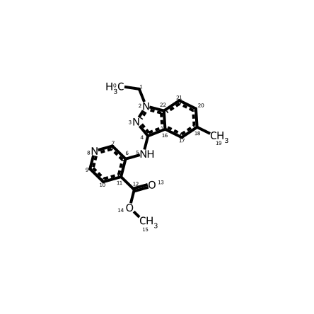 CCn1nc(Nc2cnccc2C(=O)OC)c2cc(C)ccc21